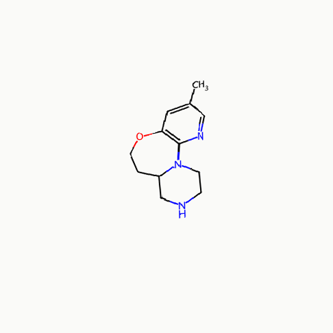 Cc1cnc2c(c1)OCCC1CNCCN21